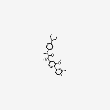 CCN(CC)c1ccc(C(C)C(=O)Nc2ccc(-c3ccnc(C)c3)c(OC)c2)cc1